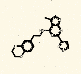 Cc1csc2nc(-c3ccno3)nc(NCCc3ccc4c(c3)OCCO4)c12